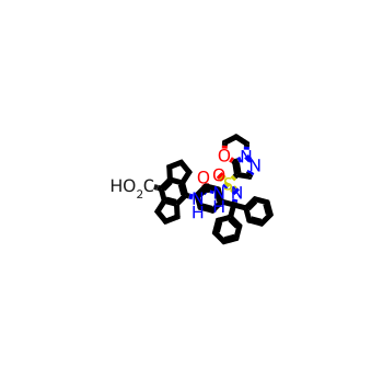 O=C(Nc1c2c(c(C(=O)O)c3c1CCC3)CCC2)NS(=O)(=NC(c1ccccc1)(c1ccccc1)c1ccccc1)c1cnn2c1OCCC2